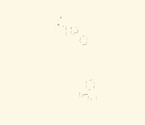 CCS(=O)(=O)CNc1nc(-c2ccc(OCCCCCOc3ccc(C(=N)NO)cc3)cc2)cs1